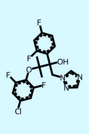 CC(C)(Oc1c(F)cc(Cl)cc1F)C(O)(Cn1cncn1)c1ccc(F)cc1F